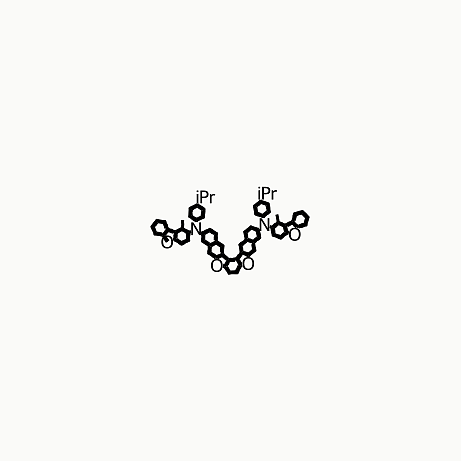 Cc1c(N(c2ccc(C(C)C)cc2)c2ccc3cc4c(cc3c2)oc2ccc3oc5cc6cc(N(c7ccc(C(C)C)cc7)c7ccc8oc9ccccc9c8c7C)ccc6cc5c3c24)ccc2oc3ccccc3c12